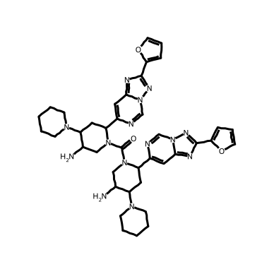 NC1CN(C(=O)N2CC(N)C(N3CCCCC3)CC2c2cc3nc(-c4ccco4)nn3cn2)C(c2cc3nc(-c4ccco4)nn3cn2)CC1N1CCCCC1